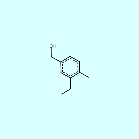 CCc1cc(CO)ccc1C